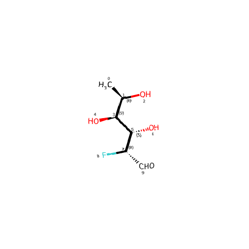 C[C@@H](O)[C@H](O)[C@H](O)[C@@H](F)C=O